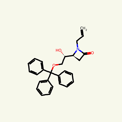 C=CCN1C(=O)C[C@H]1[C@@H](O)COC(c1ccccc1)(c1ccccc1)c1ccccc1